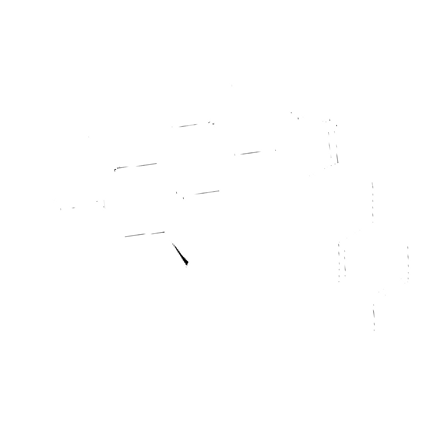 COC[C@H]1CN(C(C)C)C(=O)c2c(O)c(=O)c(-c3nnc(Cc4ccc(F)cc4)s3)cn21